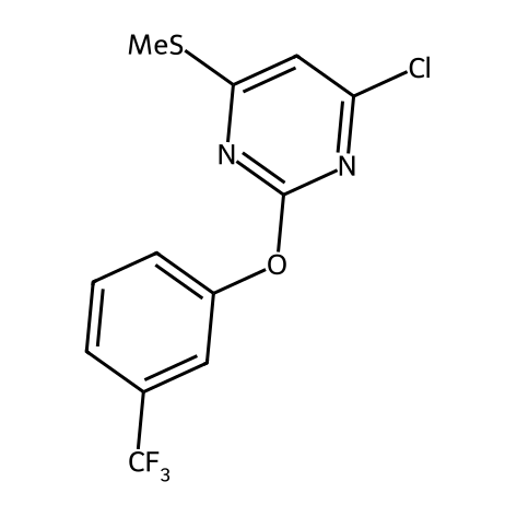 CSc1cc(Cl)nc(Oc2cccc(C(F)(F)F)c2)n1